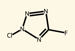 Fc1nnn(Cl)n1